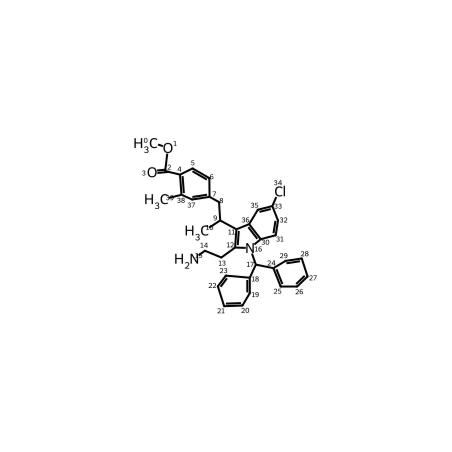 COC(=O)c1ccc(CC(C)c2c(CCN)n(C(c3ccccc3)c3ccccc3)c3ccc(Cl)cc23)cc1C